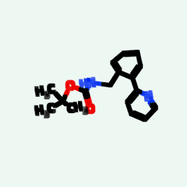 CC(C)(C)OC(=O)NCc1ccccc1-c1ccccn1